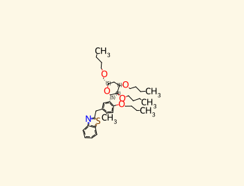 CCCCOC[C@@H]1C[C@H](OCCCC)[C@@H](OCCCC)[C@H](c2cc(Cc3nc4ccccc4s3)c(C)cc2OCCCC)O1